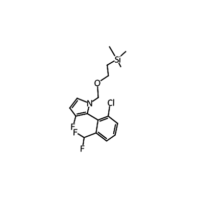 C[Si](C)(C)CCOCn1ccc(F)c1-c1c(Cl)cccc1C(F)F